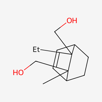 CCC1(CO)C2C=CC(CC2)C1(C)CO